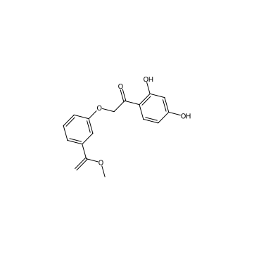 C=C(OC)c1cccc(OCC(=O)c2ccc(O)cc2O)c1